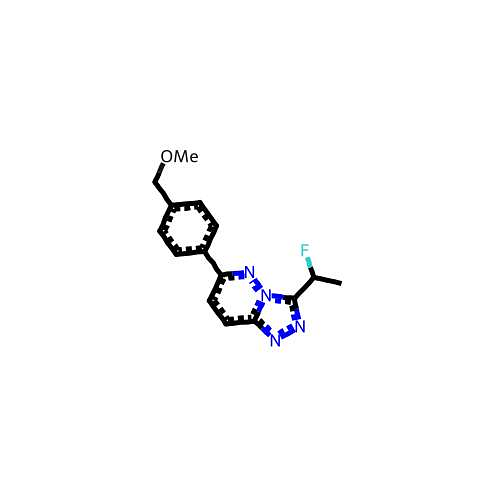 COCc1ccc(-c2ccc3nnc(C(C)F)n3n2)cc1